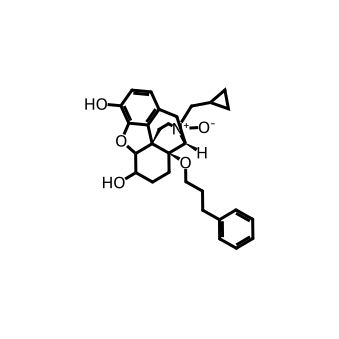 [O-][N+]1(CC2CC2)CC[C@]23c4c5ccc(O)c4OC2C(O)CC[C@@]3(OCCCc2ccccc2)[C@H]1C5